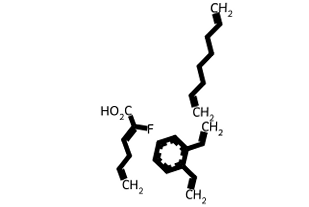 C=CCC=C(F)C(=O)O.C=CCCCCC=C.C=Cc1ccccc1C=C